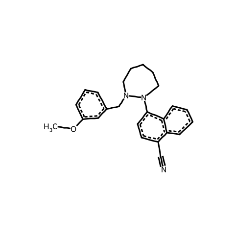 COc1cccc(CN2CCCCCN2c2ccc(C#N)c3ccccc23)c1